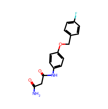 NC(=O)CC(=O)Nc1ccc(OCc2ccc(F)cc2)cc1